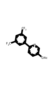 CC(=O)Oc1ccc(-c2cc(C(F)(F)F)cc(C(F)(F)F)c2)nc1